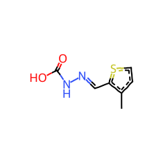 Cc1ccsc1C=NNC(=O)O